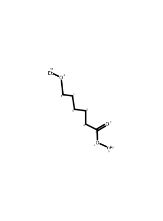 CCCOC(=O)CCCCCOCC